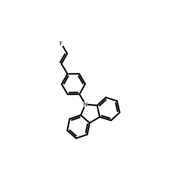 FC=Cc1ccc(-n2c3ccccc3c3ccccc32)cc1